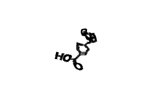 O=C(O)c1ccc([SH](=O)=O)cc1